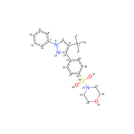 CC(C)(C)c1cn(-c2ccccc2)nc1-c1ccc(S(=O)(=O)N2CCOCC2)cc1